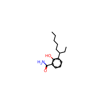 CCCCCC(CC)c1cccc(C(N)=O)c1O